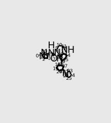 Cn1ccc(NC(=O)N2CCCNc3ccc(-c4cccc(N5CCCC5)c4)nc32)n1